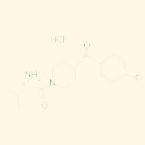 CC(C)[C@H](N)C(=O)N1CCC(C(=O)c2ccc(F)cc2)CC1.Cl